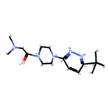 CN(C)CC(=O)N1CCN(c2ccc(C(C)(C)C)nn2)CC1